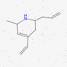 C=CCC1CC(C=C)=CC(C)N1